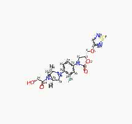 O=C1O[C@@H](COc2cnsn2)CN1c1ccc(N2C[C@@H]3C[C@H]2CN3C(=O)CO)c(F)c1